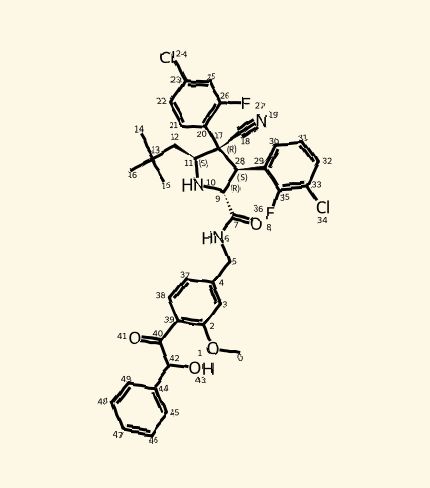 COc1cc(CNC(=O)[C@@H]2N[C@@H](CC(C)(C)C)[C@](C#N)(c3ccc(Cl)cc3F)[C@H]2c2cccc(Cl)c2F)ccc1C(=O)C(O)c1ccccc1